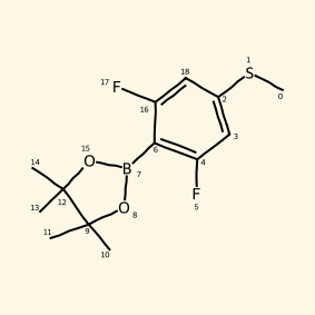 CSc1cc(F)c(B2OC(C)(C)C(C)(C)O2)c(F)c1